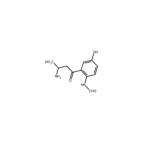 NC(CC(=O)c1cc(O)ccc1NC=O)C(=O)O